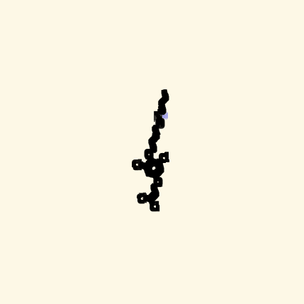 CCC/C=N/OCCCCOc1c(Cl)cc(OCC=C(Cl)Cl)cc1Cl